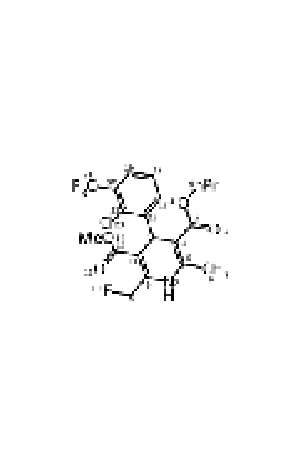 CCCOC(=O)C1=C(C)NC(CF)=C(C(=O)OC)C1c1cccc(C(F)(F)F)c1Cl